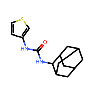 O=C(Nc1ccsc1)NC1C2CC3CC(C2)CC1C3